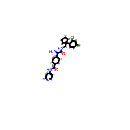 NC(C(=O)NCC1(c2ccc(F)cc2Cl)CCCC1)C1CCC(C(=O)Nc2ccncc2)CC1